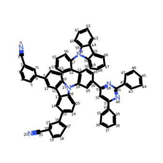 N#Cc1cccc(-c2ccc3c(c2)c2cc(-c4cccc(C#N)c4)ccc2n3-c2cc(-c3cc(-c4ccccc4)nc(-c4ccccc4)n3)ccc2-c2ccccc2-n2c3ccccc3c3ccccc32)c1